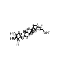 CC(C)CCC[C@@H](C)[C@H]1CCC2=C3CC[C@H]4C[C@@H](O[C@@H]5OC[C@@H](O)[C@H](O)[C@H]5O)CC[C@]4(C)[C@H]3CC[C@@]21C